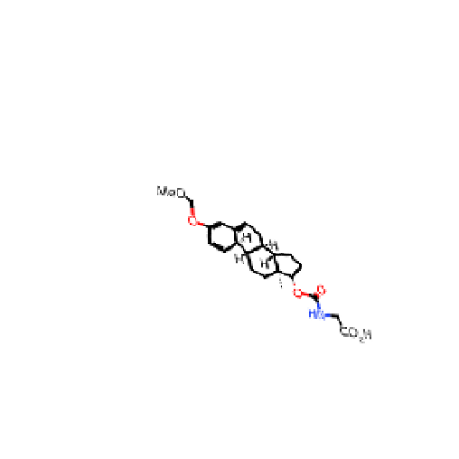 COCOC1=CC2=CC[C@@H]3[C@H](CC[C@]4(C)[C@@H](OC(=O)NCC(=O)O)CC[C@@H]34)[C@H]2C=C1